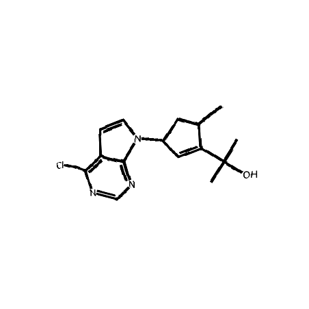 CC1CC(n2ccc3c(Cl)ncnc32)C=C1C(C)(C)O